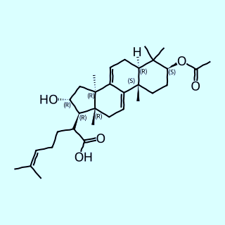 CC(=O)O[C@H]1CC[C@]2(C)C3=CC[C@]4(C)[C@@H](C(CCC=C(C)C)C(=O)O)[C@H](O)C[C@@]4(C)C3=CC[C@H]2C1(C)C